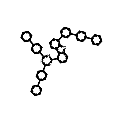 c1ccc(-c2ccc(-c3cccc(-c4cccc5c4oc4cccc(-c6nc(-c7ccc(-c8ccccc8)cc7)nc(-c7ccc(-c8ccccc8)cc7)n6)c45)c3)cc2)cc1